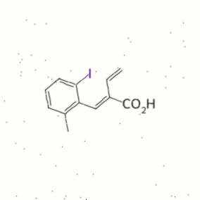 C=C/C(=C\c1c(C)cccc1I)C(=O)O